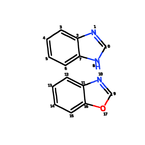 [c]1nc2ccccc2[nH]1.[c]1nc2ccccc2o1